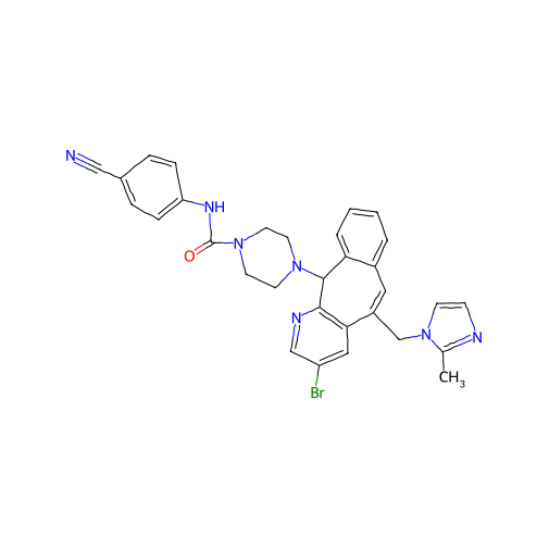 Cc1nccn1CC1=Cc2ccccc2C(N2CCN(C(=O)Nc3ccc(C#N)cc3)CC2)c2ncc(Br)cc21